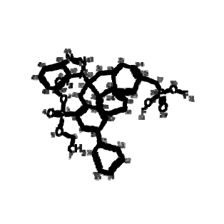 CCOP(=O)(OCC)c1cc(-c2ccccc2)ccc1CC(Cc1ccc(CP(=O)(OF)OF)cc1)(c1ccccc1)n1nnc2ccccc21